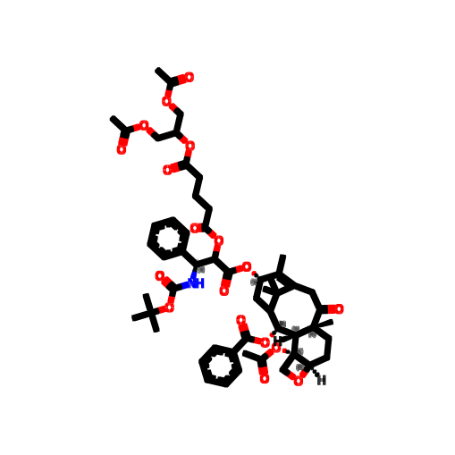 CC(=O)OCC(COC(C)=O)OC(=O)CCCC(=O)OC(C(=O)O[C@H]1CC2[C@@H](OC(=O)c3ccccc3)[C@H]3[C@]4(OC(C)=O)CO[C@@H]4CC[C@@]3(C)C(=O)CC(=C1C)C2(C)C)[C@@H](NC(=O)OC(C)(C)C)c1ccccc1